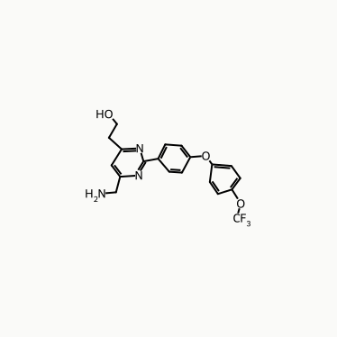 NCc1cc(CCO)nc(-c2ccc(Oc3ccc(OC(F)(F)F)cc3)cc2)n1